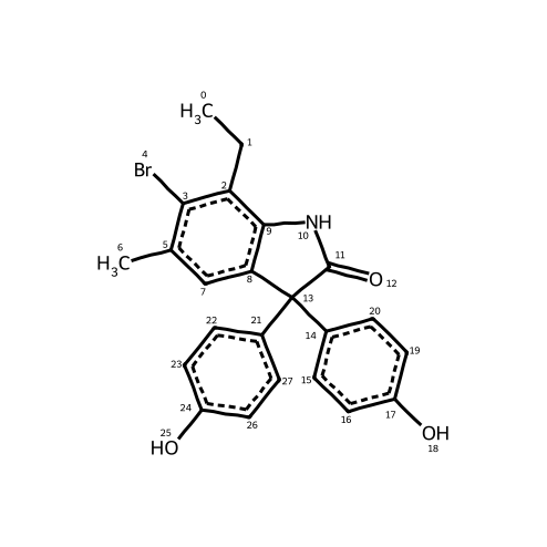 CCc1c(Br)c(C)cc2c1NC(=O)C2(c1ccc(O)cc1)c1ccc(O)cc1